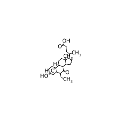 CCC1C(=O)C2C3CC[C@H]([C@H](C)CCC(=O)O)[C@@]3(C)CC[C@@H]2[C@@]2(C)CC[C@@H](O)CC12